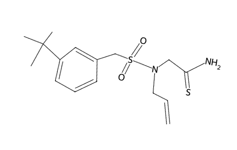 C=CCN(CC(N)=S)S(=O)(=O)Cc1cccc(C(C)(C)C)c1